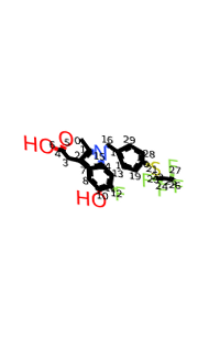 Cc1c(CC(=O)O)c2cc(O)c(F)cc2n1Cc1ccc(SC(F)(F)C(F)F)cc1